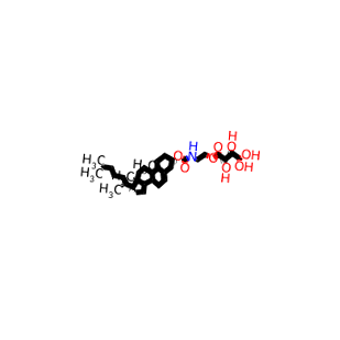 CC(C)CCC[C@@H](C)[C@H]1CCC2C3CC=C4C[C@@H](OC(=O)NCCOC(=O)[C@@H](O)[C@H](O)C(O)O)CC[C@]4(C)C3CC[C@@]21C